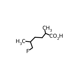 CC(CF)CCC(C)C(=O)O